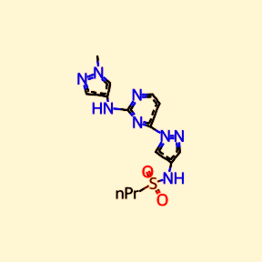 CCCS(=O)(=O)Nc1cnn(-c2ccnc(Nc3cnn(C)c3)n2)c1